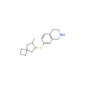 CC1CC2(CCC2)CC1Sc1ccc2c(c1)CNCC2